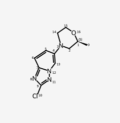 C[C@H]1CN(c2ccc3nc(Cl)nn3c2)CCO1